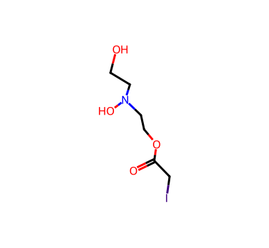 O=C(CI)OCCN(O)CCO